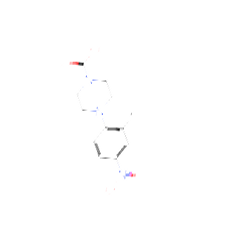 Cc1cc([N+](=O)[O-])ccc1N1CCN(C(=O)O)CC1